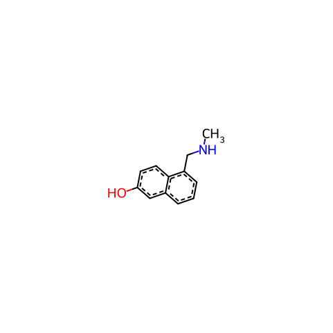 CNCc1cccc2cc(O)ccc12